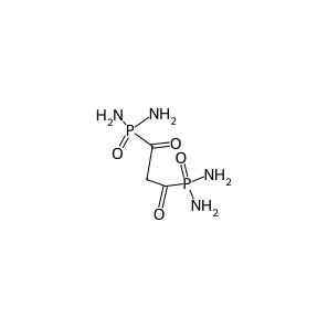 NP(N)(=O)C(=O)CC(=O)P(N)(N)=O